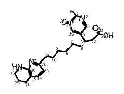 Cc1ncc([C@@H](CCCCCCc2ccc3c(n2)NCCC3)CC(=O)O)c[n+]1[O-]